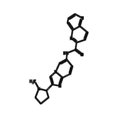 CN1CCCC1c1cn2cc(NC(=O)c3ccc4ncccc4n3)ccc2n1